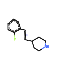 Fc1ccccc1/C=C/C1CCNCC1